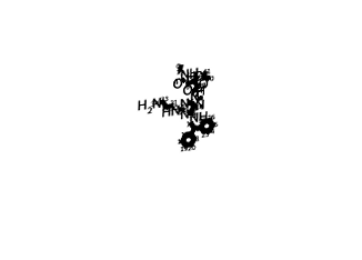 CCNC(=O)[C@H]1O[C@@H](n2cnc3c(NCC(c4ccccc4)c4ccccc4)nc(NCCCN)nc32)[C@@H]2OC(C)(C)O[C@@H]21